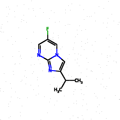 CC(C)c1cn2cc(F)cnc2n1